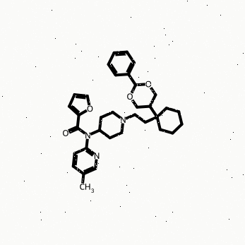 Cc1ccc(N(C(=O)c2ccco2)C2CCN(CCC3(C4COC(c5ccccc5)OC4)CCCCC3)CC2)nc1